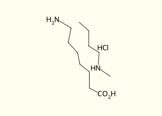 CCCCNC.Cl.NCCCCCCC(=O)O